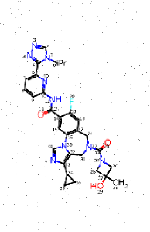 CC(C)n1cnnc1-c1cccc(NC(=O)c2cc3c(cc2F)CN(C(=O)N2CC(C)(O)C2)Cc2c(C4CC4)ncn2-3)n1